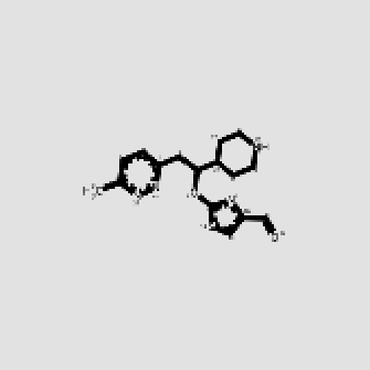 Cc1ccc(CC(Oc2nc(C=O)cs2)C2CCNCC2)nn1